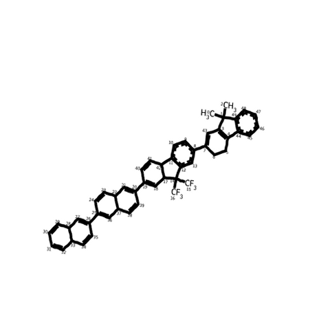 CC1(C)C2=C(CCC(c3ccc4c(c3)C(C(F)(F)F)(C(F)(F)F)C3C=C(C5=CC6C=CC(C7=CC8C=CC=CC8C=C7)=CC6C=C5)C=CC43)=C2)c2ccccc21